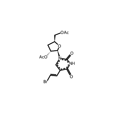 CC(=O)OC[C@@H]1C[C@@H](OC(C)=O)[C@H](n2cc(C=CBr)c(=O)[nH]c2=O)O1